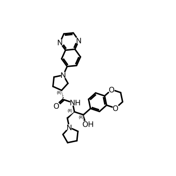 O=C(N[C@H](CN1CCCC1)[C@H](O)c1ccc2c(c1)OCCO2)[C@@H]1CCN(c2ccc3nccnc3c2)C1